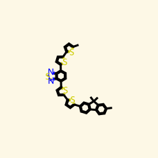 Cc1ccc2c(c1)C(C)(C)c1cc(-c3ccc(-c4ccc(-c5ccc(-c6ccc(-c7ccc(C)s7)s6)c6nsnc56)s4)s3)ccc1-2